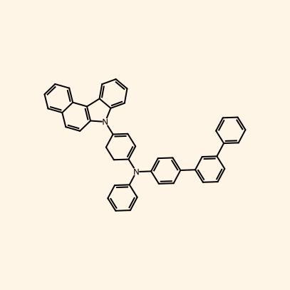 C1=C(N(c2ccccc2)c2ccc(-c3cccc(-c4ccccc4)c3)cc2)CCC(n2c3ccccc3c3c4ccccc4ccc32)=C1